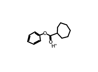 O=C(Oc1ccccc1)C1CCCCCC1.[H+]